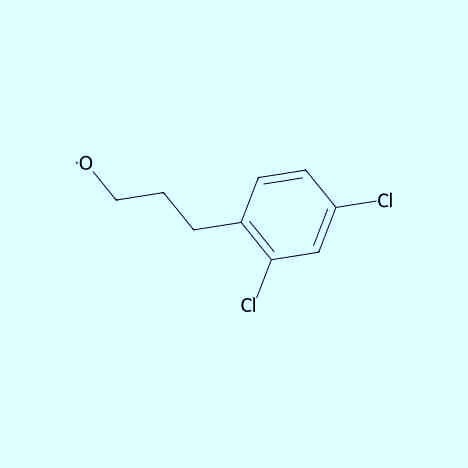 [O]CCCc1ccc(Cl)cc1Cl